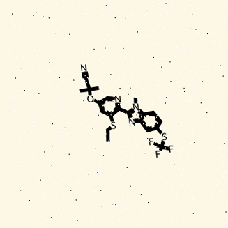 CCSc1cc(OC(C)(C)C#N)cnc1-c1nc2cc(SC(F)(F)F)ccc2n1C